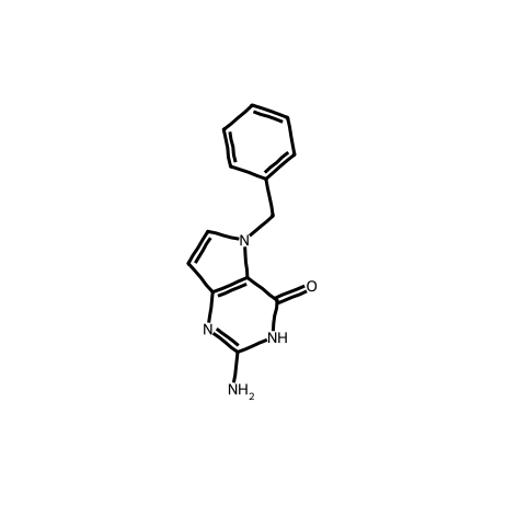 Nc1nc2ccn(Cc3ccccc3)c2c(=O)[nH]1